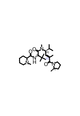 C/C(=C\[C@H](C(C)C)N(C)C(=O)[C@@H](NC(=O)C1CCCCN1C)C(C)(C)C)C(=O)N1CCC[C@H]1C